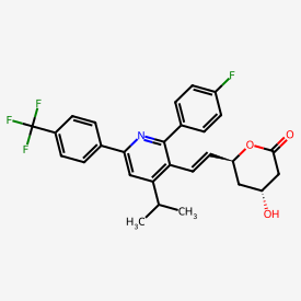 CC(C)c1cc(-c2ccc(C(F)(F)F)cc2)nc(-c2ccc(F)cc2)c1/C=C/[C@@H]1C[C@@H](O)CC(=O)O1